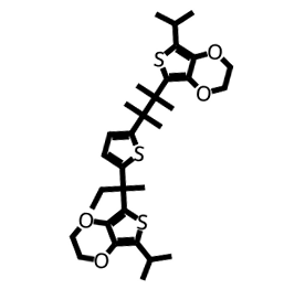 CCC(C)(c1ccc(C(C)(C)C(C)(C)c2sc(C(C)C)c3c2OCCO3)s1)c1sc(C(C)C)c2c1OCCO2